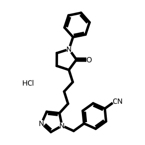 Cl.N#Cc1ccc(Cn2cncc2CCCC2CCN(c3ccccc3)C2=O)cc1